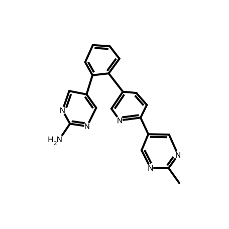 Cc1ncc(-c2ccc(-c3ccccc3-c3cnc(N)nc3)cn2)cn1